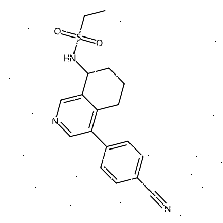 CCS(=O)(=O)NC1CCCc2c(-c3ccc(C#N)cc3)cncc21